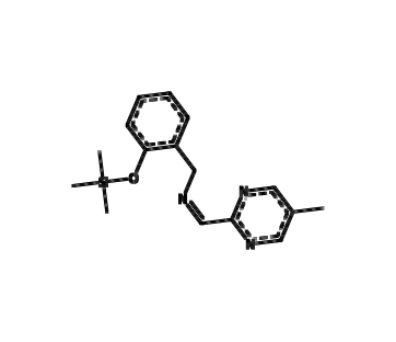 Cc1cnc(/C=N\Cc2ccccc2O[Si](C)(C)C)nc1